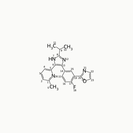 Cc1cccc(-c2[nH]c(C(C)C)nc2-c2ccc(F)c(-c3ncco3)c2)n1